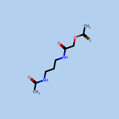 CC(=O)NCCCNC(=O)COC(C)=S